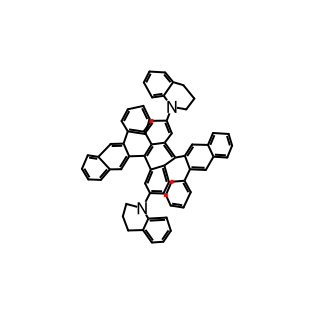 C1=CCCC(c2cc3ccccc3cc2-c2c3cc(N4CCCc5ccccc54)ccc3c(-c3cc4ccccc4cc3-c3ccccc3)c3cc(N4CCCc5ccccc54)ccc23)=C1